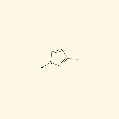 Cc1ccn(F)c1